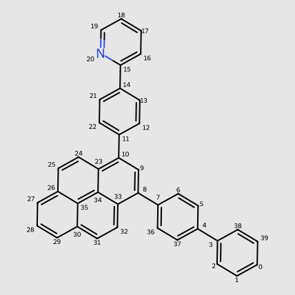 c1ccc(-c2ccc(-c3cc(-c4ccc(-c5ccccn5)cc4)c4ccc5cccc6ccc3c4c65)cc2)cc1